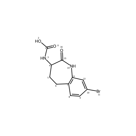 O=C(O)NC1CCc2ccc(Br)cc2NC1=O